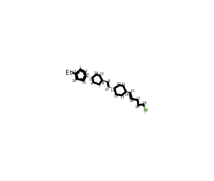 CCc1ccc([C@H]2CC[C@H](CC[C@H]3CC[C@H](/C=C/CCCF)CC3)CC2)cc1